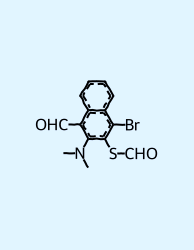 CN(C)c1c(SC=O)c(Br)c2ccccc2c1C=O